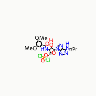 CCCNc1ncnc2c1ncn2[C@@H]1O[C@H](COP(=O)(Cl)Cl)C(NC(=O)c2cc(OC)cc(OC)c2)C1O